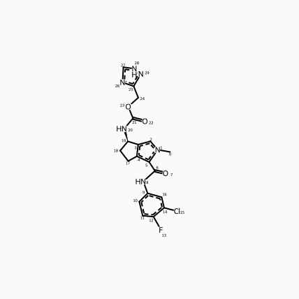 Cn1cc2c(c1C(=O)Nc1ccc(F)c(Cl)c1)CC[C@H]2NC(=O)OCc1nc[nH]n1